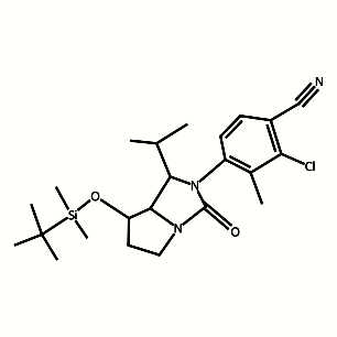 Cc1c(N2C(=O)N3CCC(O[Si](C)(C)C(C)(C)C)C3C2C(C)C)ccc(C#N)c1Cl